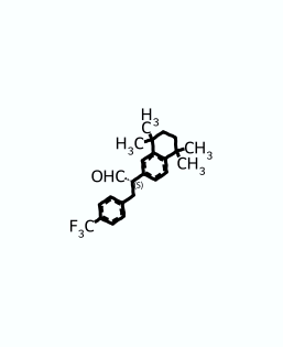 CC1(C)CCC(C)(C)c2cc([C@@H](C=O)Cc3ccc(C(F)(F)F)cc3)ccc21